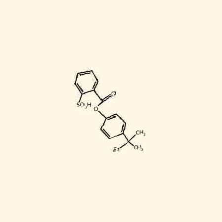 CCC(C)(C)c1ccc(OC(=O)c2ccccc2S(=O)(=O)O)cc1